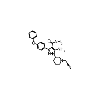 N#CCN1CCCC(n2nc(-c3ccc(Oc4ccccc4)cc3)c(C(N)=O)c2N)C1